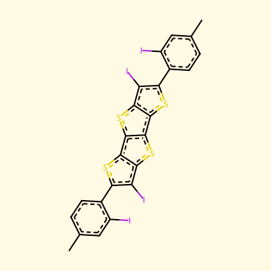 Cc1ccc(-c2sc3c(sc4c5sc(-c6ccc(C)cc6I)c(I)c5sc34)c2I)c(I)c1